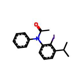 CC(=O)N(c1ccccc1)c1cccc(C(C)C)c1I